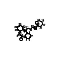 CN1C(=O)c2ccccc2N(CCCOC2CCCCO2)c2ccccc21